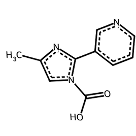 Cc1cn(C(=O)O)c(-c2cccnc2)n1